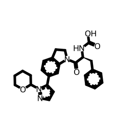 O=C(O)N[C@@H](Cc1ccccc1)C(=O)N1CCc2ccc(-c3ccnn3C3CCCCO3)cc21